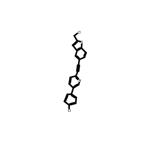 ClCc1cc2cc(C#Cc3ccc(-c4ccc(Cl)cc4)cn3)ccc2s1